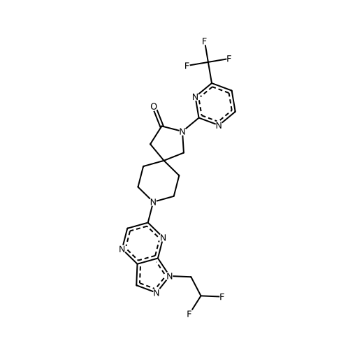 O=C1CC2(CCN(c3cnc4cnn(CC(F)F)c4n3)CC2)CN1c1nccc(C(F)(F)F)n1